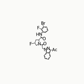 CC(=O)c1nn(CC(=O)N2CC(F)CC2C(=O)Nc2cccc(Br)c2F)c2ccccc12